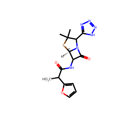 CC1(C)S[C@@H]2C(NC(=O)C(C(=O)O)c3ccco3)C(=O)N2C1c1nnn[nH]1